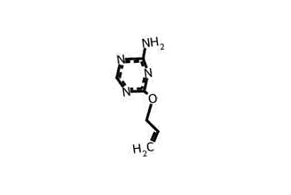 C=CCOc1ncnc(N)n1